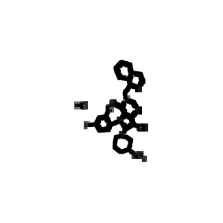 Cl.N#Cc1c(N2CCC[C@H](N)C2)n(-c2ccc(F)cc2Cl)c2c(=O)n(Cc3nccc4ccccc34)cnc12